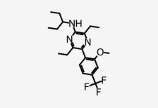 CCc1nc(-c2ccc(C(F)(F)F)cc2OC)c(CC)nc1NC(CC)CC